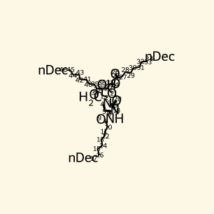 C=C1[C@H](n2ccc(NC(=O)CCCCCCCCCCCCCCCCC)nc2=O)O[C@H](COC(=O)CCCCCCCCCCCCCCCCC)[C@]1(O)C(=O)CCCCCCCCCCCCCCCCC